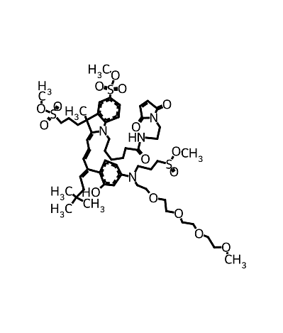 COCCOCCOCCOCCN(CCCS(=O)OC)c1ccc(C(=C\CC(C)(C)C)/C=C/C=C2\N(CCCCCC(=O)NCCN3C(=O)C=CC3=O)c3ccc(S(=O)(=O)OC)cc3C2(C)CCCS(=O)(=O)OC)c(O)c1